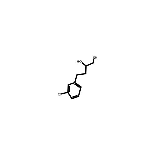 OC(CS)CCc1cccc(Cl)c1